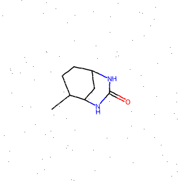 CC1CCC2CC1NC(=O)N2